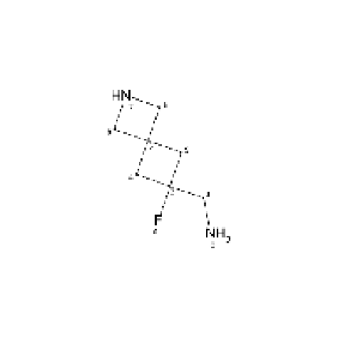 NCC1(F)CC2(CNC2)C1